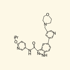 CC(C)Oc1ccc(NC(=O)c2n[nH]c3ccc(-c4cncc(CN5CCOCC5)c4)cc23)cn1